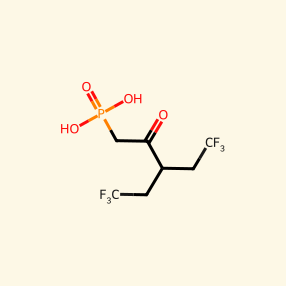 O=C(CP(=O)(O)O)C(CC(F)(F)F)CC(F)(F)F